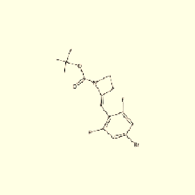 CC(C)(C)OC(=O)N1CCC1=Cc1c(F)cc(Br)cc1F